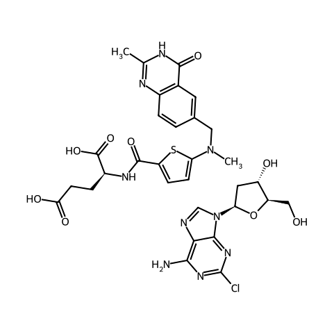 Cc1nc2ccc(CN(C)c3ccc(C(=O)N[C@@H](CCC(=O)O)C(=O)O)s3)cc2c(=O)[nH]1.Nc1nc(Cl)nc2c1ncn2[C@H]1C[C@H](O)[C@@H](CO)O1